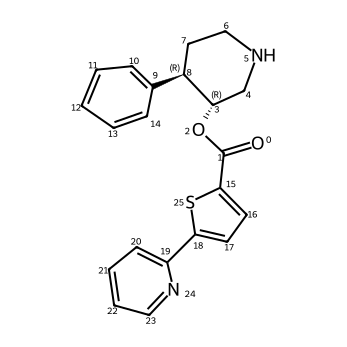 O=C(O[C@H]1CNCC[C@@H]1c1ccccc1)c1ccc(-c2ccccn2)s1